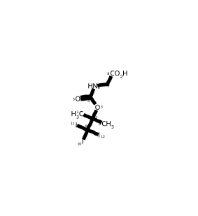 CC(C)(OC(=O)NCC(=O)O)C(I)(I)I